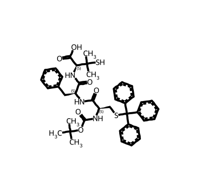 CC(C)(C)OC(=O)N[C@H](CSC(c1ccccc1)(c1ccccc1)c1ccccc1)C(=O)N[C@@H](Cc1ccccc1)C(=O)N[C@@H](C(=O)O)C(C)(C)S